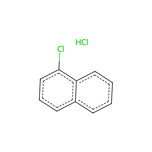 Cl.Clc1cccc2ccccc12